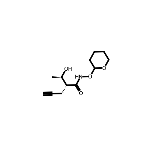 C#CC[C@@H](C(=O)NOC1CCCCO1)[C@@H](C)O